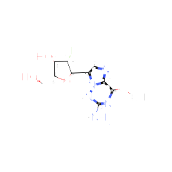 COc1nc(N)nn2c(C3O[C@H](CO)[C@@H](O)[C@H]3F)cnc12